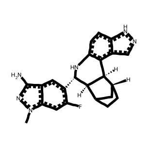 Cn1nc(N)c2cc([C@@H]3Nc4ccc5[nH]ncc5c4[C@H]4[C@@H]5CCC(C5)[C@H]43)c(F)cc21